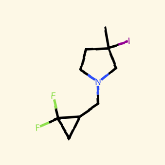 CC1(I)CCN(CC2CC2(F)F)C1